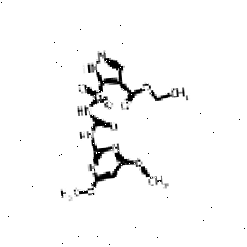 CCOC(=O)c1cn[nH]c1S(=O)(=O)NC(=O)Nc1nc(OC)cc(OC)n1